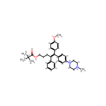 COc1ccc(/C(=C(\CCCOC(=O)C(C)(C)C)c2ccccc2)c2ccc(N3CCN(C)CC3)cc2)cc1